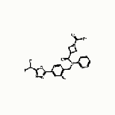 CC(C)C(=O)N1CC(C(=O)N(Cc2ccc(-c3nnc(C(F)F)o3)cc2F)c2ccccc2)C1